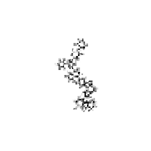 c1ccc(-c2ccc(-c3nc(-c4ccccc4)nc(-c4ccc(-c5ccc6c(c5)oc5ccc7sc(-c8cccc9oc%10ccccc%10c89)nc7c56)c5ccccc45)n3)cc2)cc1